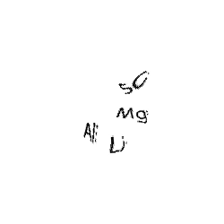 [Al].[Li].[Mg].[Sc]